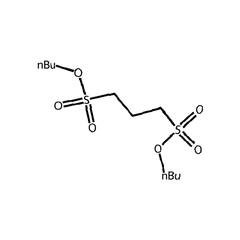 CCCCOS(=O)(=O)CCCS(=O)(=O)OCCCC